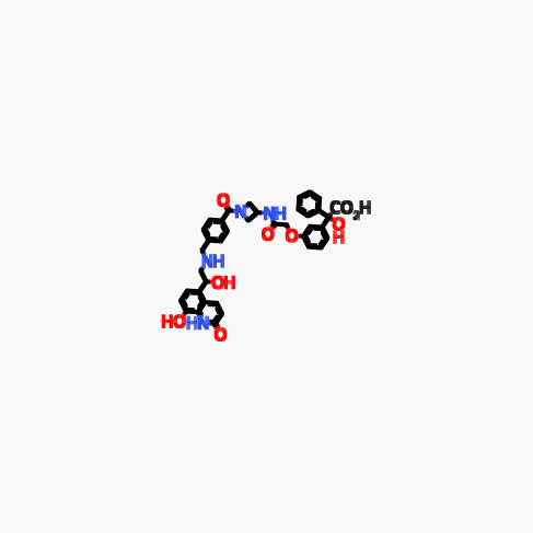 O=C(COc1cccc(C(O)(C(=O)O)c2ccccc2)c1)NC1CN(C(=O)c2ccc(CNCC(O)c3ccc(O)c4[nH]c(=O)ccc34)cc2)C1